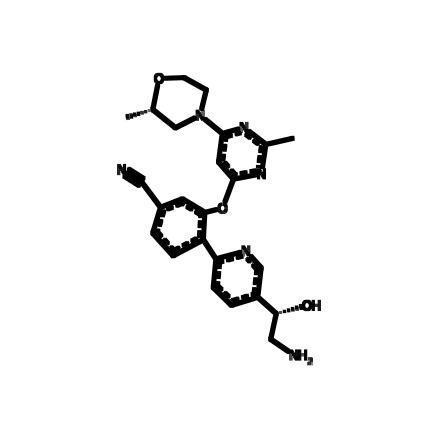 Cc1nc(Oc2cc(C#N)ccc2-c2ccc([C@H](O)CN)cn2)cc(N2CCO[C@@H](C)C2)n1